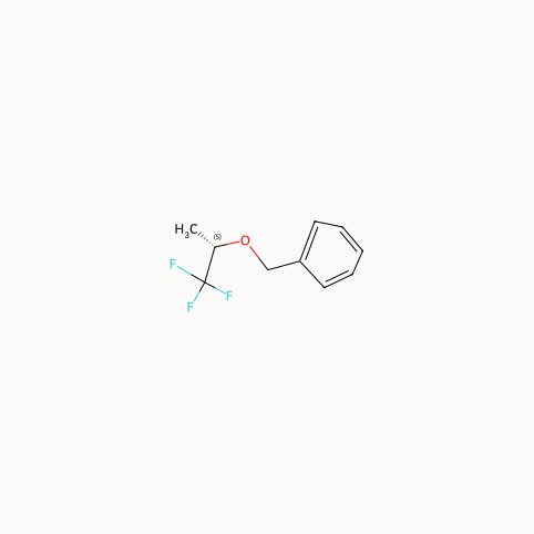 C[C@H](OCc1ccccc1)C(F)(F)F